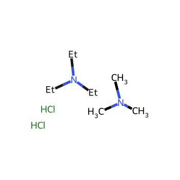 CCN(CC)CC.CN(C)C.Cl.Cl